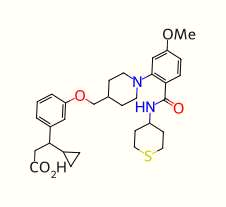 COc1ccc(C(=O)NC2CCSCC2)c(N2CCC(COc3cccc(C(CC(=O)O)C4CC4)c3)CC2)c1